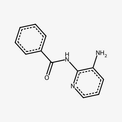 Nc1cccnc1NC(=O)c1ccccc1